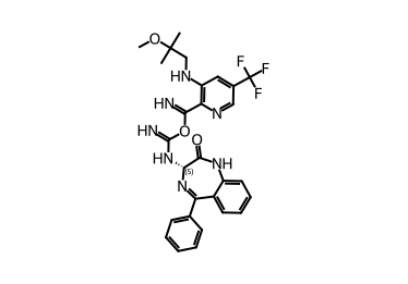 COC(C)(C)CNc1cc(C(F)(F)F)cnc1C(=N)OC(=N)N[C@H]1N=C(c2ccccc2)c2ccccc2NC1=O